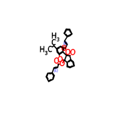 CC(C)c1ccc2c(c1)OC1(OC(=O)/C=C/c3ccccc3)c3ccccc3C(=O)C21OC(=O)/C=C/c1ccccc1